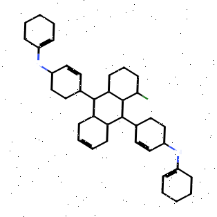 ClC1CCCC2C(C3C=CC(NC4=CCCCC4)CC3)C3CC=CCC3C(C3C=CC(NC4=CCCCC4)CC3)C12